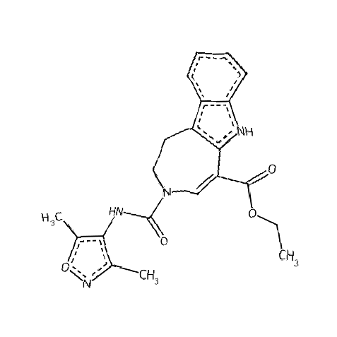 CCOC(=O)C1=CN(C(=O)Nc2c(C)noc2C)CCc2c1[nH]c1ccccc21